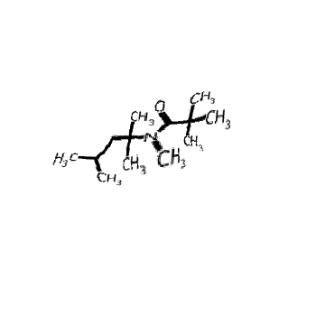 CC(C)CC(C)(C)N(C)C(=O)C(C)(C)C